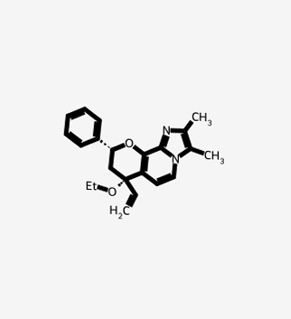 C=C[C@@]1(OCC)C[C@H](c2ccccc2)Oc2c1ccn1c(C)c(C)nc21